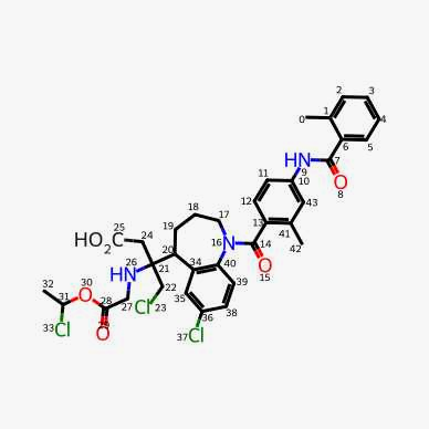 Cc1ccccc1C(=O)Nc1ccc(C(=O)N2CCCC(C(CCl)(CC(=O)O)NCC(=O)OC(C)Cl)c3cc(Cl)ccc32)c(C)c1